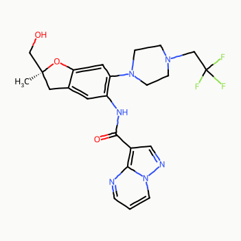 C[C@@]1(CO)Cc2cc(NC(=O)c3cnn4cccnc34)c(N3CCN(CC(F)(F)F)CC3)cc2O1